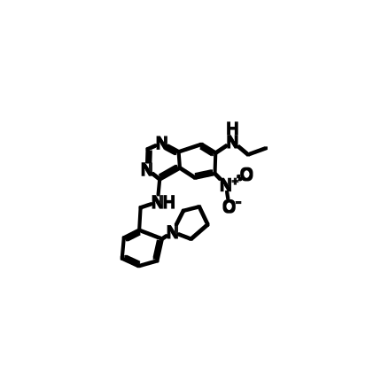 CCNc1cc2ncnc(NCc3ccccc3N3CCCC3)c2cc1[N+](=O)[O-]